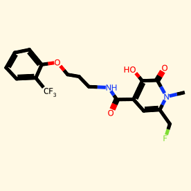 Cn1c(CF)cc(C(=O)NCCCOc2ccccc2C(F)(F)F)c(O)c1=O